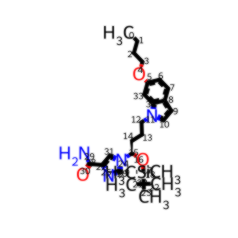 CCCCOc1ccc2ccn(CCC[C@@H](O[Si](C)(C)C(C)(C)C)n3cnc(C(N)=O)c3)c2c1